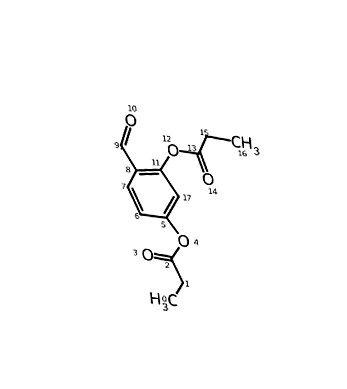 CCC(=O)Oc1ccc([C]=O)c(OC(=O)CC)c1